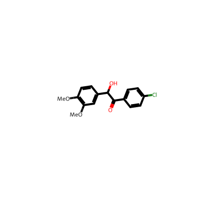 COc1ccc(C(O)C(=O)c2ccc(Cl)cc2)cc1OC